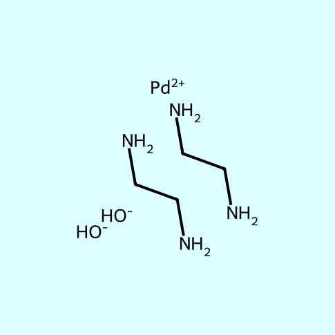 NCCN.NCCN.[OH-].[OH-].[Pd+2]